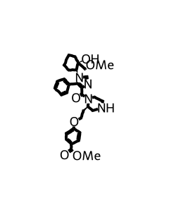 COC[C@]1(O)CCCC[C@H]1n1cnc(C(=O)N2CCNC[C@H]2CCOc2ccc(C(=O)OC)cc2)c1-c1ccccc1